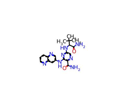 CC(C)(C)C(Nc1cnc(C(N)=O)c(Nc2cnc3cccnc3c2)n1)C(N)=O